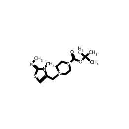 CN=c1scc(CN2CCN(C(=O)OC(C)(C)C)CC2)n1C